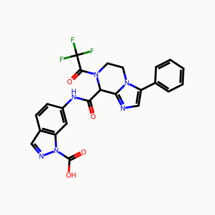 O=C(Nc1ccc2cnn(C(=O)O)c2c1)C1c2ncc(-c3ccccc3)n2CCN1C(=O)C(F)(F)F